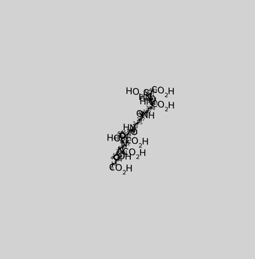 O=C(O)CCc1ccc(CN(CCN(CC(=O)O)Cc2cc(CCC(=O)NCCCCCC(=O)NCCCCC(NC(=O)NC(CCC(=O)O)C(=O)O)C(=O)O)ccc2O)CC(=O)O)c(O)c1